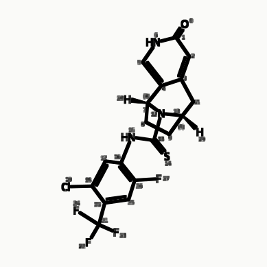 O=c1cc2c(c[nH]1)[C@H]1CC[C@@H](C2)N1C(=S)Nc1cc(Cl)c(C(F)(F)F)cc1F